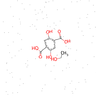 CCO.O=C(O)c1cc(O)c(C(=O)O)cc1O